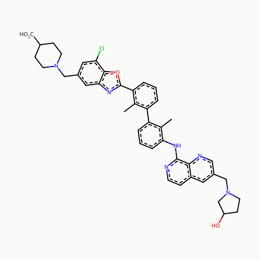 Cc1c(Nc2nccc3cc(CN4CCC(O)C4)cnc23)cccc1-c1cccc(-c2nc3cc(CN4CCC(C(=O)O)CC4)cc(Cl)c3o2)c1C